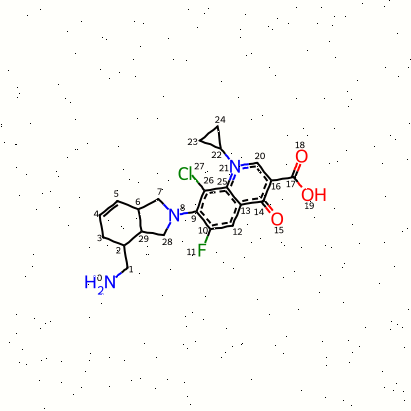 NCC1CC=CC2CN(c3c(F)cc4c(=O)c(C(=O)O)cn(C5CC5)c4c3Cl)CC21